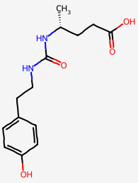 C[C@H](CCC(=O)O)NC(=O)NCCc1ccc(O)cc1